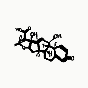 CC(=O)O[C@@H]1C[C@H]2[C@@H]3CCC4=CC(=O)C=C[C@]4(C)C3(F)[C@@H](O)C[C@]2(C)[C@@]1(O)C(=O)C(=O)O